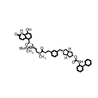 CN(CCNC[C@H](O[Si](C)(C)C(C)(C)C)c1ccc(O)c2[nH]c(=O)ccc12)C(=O)CCc1cccc(CN2C[C@H]3C[C@H](OC(=O)Nc4ccccc4-c4ccccc4)C[C@H]3C2)c1